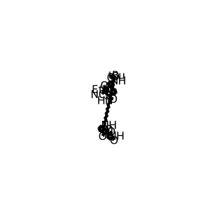 CCc1c(C#N)c(SC(C(=O)NCCCCCCCCCCNc2cccc3c2C(=O)N(C2CCC(=O)NC2=O)C3=O)c2ccccc2)nc(N2CCC(NC(=O)OC(C)(C)C)CC2)c1C#N